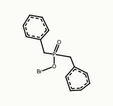 O=P(Cc1ccccc1)(Cc1ccccc1)OBr